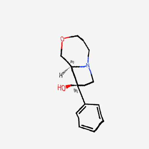 O[C@]1(c2ccccc2)CN2CCOC[C@@H]21